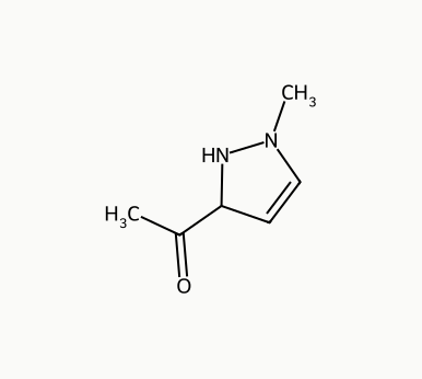 CC(=O)C1C=CN(C)N1